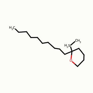 CCCCCCCCCCC1([SiH2]C)CCCCO1